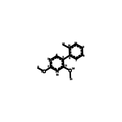 COc1ncc(-c2ccccc2C)c(OC)n1